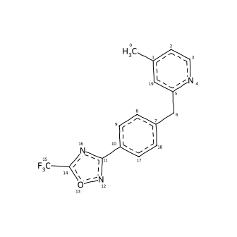 Cc1ccnc(Cc2ccc(-c3noc(C(F)(F)F)n3)cc2)c1